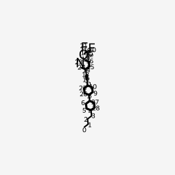 CCCCc1ccc(-c2ccc(C#Cc3ccc(OC(F)(F)F)nc3)cc2)cc1